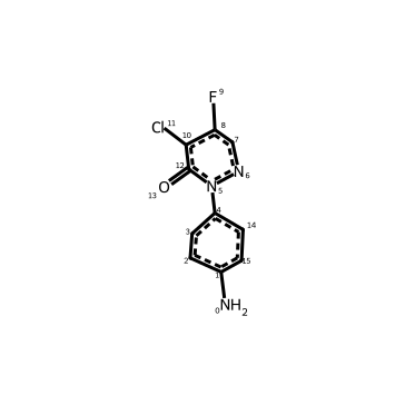 Nc1ccc(-n2ncc(F)c(Cl)c2=O)cc1